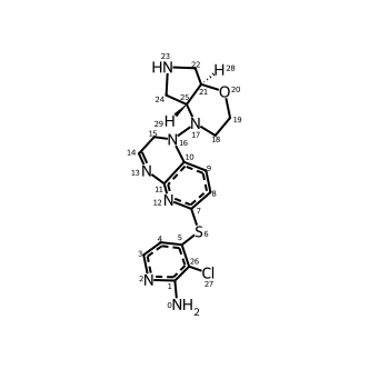 Nc1nccc(Sc2ccc3c(n2)N=CCN3N2CCO[C@@H]3CNC[C@H]32)c1Cl